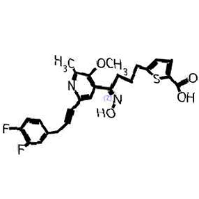 COc1c(/C(CCCc2ccc(C(=O)O)s2)=N\O)cc(C#CCc2ccc(F)c(F)c2)nc1C